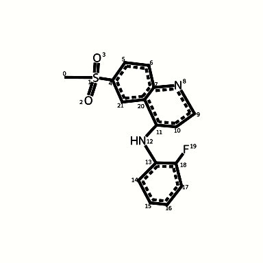 CS(=O)(=O)c1ccc2nccc(Nc3ccccc3F)c2c1